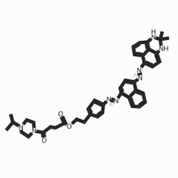 CC(C)N1CCN(C(=O)CCC(=O)OCCc2ccc(/N=N/c3ccc(/N=N/c4ccc5c6c(cccc46)NC(C)(C)N5)c4ccccc34)cc2)CC1